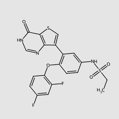 CCS(=O)(=O)Nc1ccc(Oc2ccc(F)cc2F)c(-c2csc3c(=O)[nH]cnc23)c1